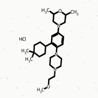 COCCN1CCN(c2ccc(N3CC(C)OC(C)C3)cc2C2CCC(C)(C)CC2)CC1.Cl